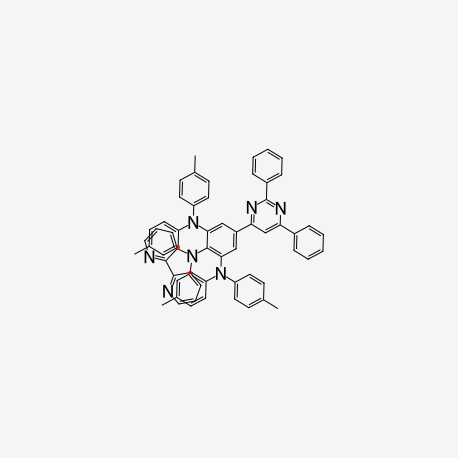 Cc1ccc(N(c2ccc(C)cc2)c2cc(-c3cc(-c4ccccc4)nc(-c4ccccc4)n3)cc(N(c3ccc(C)cc3)c3ccc(C)cc3)c2-n2c3cccnc3c3ncccc32)cc1